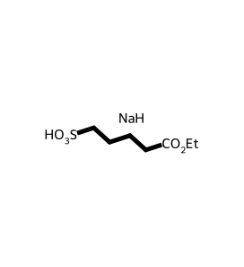 CCOC(=O)CCCCS(=O)(=O)O.[NaH]